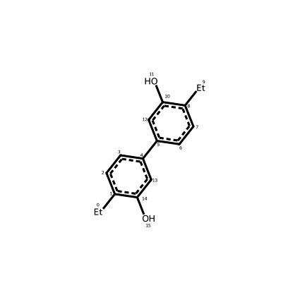 CCc1ccc(-c2ccc(CC)c(O)c2)cc1O